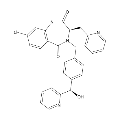 O=C1Nc2cc(Cl)ccc2C(=O)N(Cc2ccc([C@@H](O)c3ccccn3)cc2)[C@@H]1Cc1ccccn1